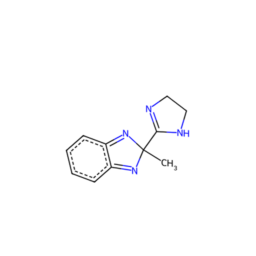 CC1(C2=NCCN2)N=c2ccccc2=N1